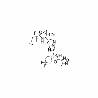 Cc1nonc1C(=O)N[C@H](c1cn2ncc(C(NC(=O)C(F)(F)CC3CC3)C3(C#N)CC3)cc2n1)C1CCC(F)(F)CC1